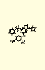 Cl.Cl.N[C@H]1CC[C@H](Nc2nc(NS(=O)(=O)c3ccccc3)c3ncn(C4CCCC4)c3n2)CC1